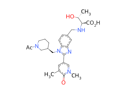 CC(=O)N1CCC[C@@H](Cn2c(-c3cc(C)c(=O)n(C)c3)nc3cc(CN[C@H](C(=O)O)[C@@H](C)O)ccc32)C1